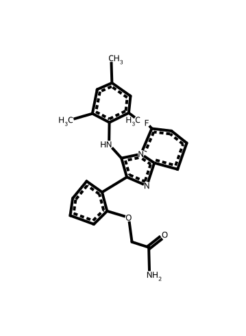 Cc1cc(C)c(Nc2c(-c3ccccc3OCC(N)=O)nc3cccc(F)n23)c(C)c1